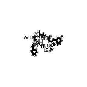 CC(=O)O[C@H](C(=O)NCC(C)(C)CNC(=O)CC(Cc1cc(F)ccc1F)NC(=O)OC(C)(C)C)[C@@H](COCc1ccccc1)NC(=O)OC(C)(C)C